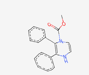 COC(=O)N1C=CNC(c2ccccc2)=C1c1ccccc1